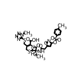 CO[C@@]1(NC(=O)Cc2cc(OS(=O)(=O)c3ccc(C)cc3)no2)C(=O)N2C(C(=O)O)=C(CSc3nnnn3C)CS[C@H]21